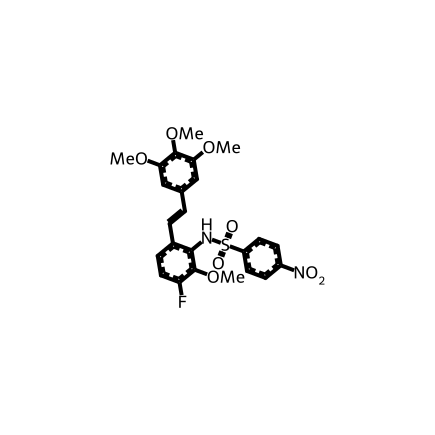 COc1cc(C=Cc2ccc(F)c(OC)c2NS(=O)(=O)c2ccc([N+](=O)[O-])cc2)cc(OC)c1OC